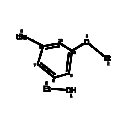 CCO.CCOc1cccc(C(C)(C)C)c1